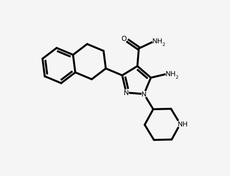 NC(=O)c1c(C2CCc3ccccc3C2)nn(C2CCCNC2)c1N